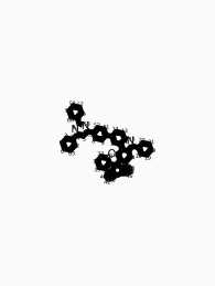 c1ccc(-c2cc(-c3ccc(-c4ccc5nc(-c6ccccc6)c6ccc7c(c6c5c4)Oc4ccccc4C74c5ccccc5-c5ccccc54)cc3)nc(-c3ccccc3)n2)cc1